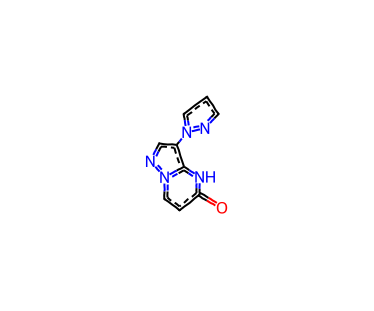 O=c1ccn2ncc(-n3cccn3)c2[nH]1